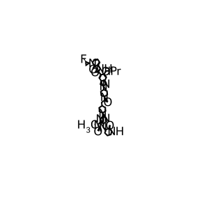 CC(C)Oc1cc2nn(C3CCN(C(=O)CC4CCN(c5ncc6c(n5)n(C)c(=O)n6C5CCCNC5=O)CC4)CC3)cc2cc1C(=O)Nc1cccn([C@H]2C[C@H]2F)c1=O